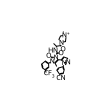 Cc1c(-c2ccnn2-c2ccc(C#N)cc2)n(C(=O)NC(C)C(=O)N2CC[N+](C)(C)CC2)c(=O)n1-c1cccc(C(F)(F)F)c1